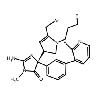 CC(=O)CC1=CC([C@]2(c3cccc(-c4cccnc4F)c3)N=C(N)N(C)C2=O)CN1CCCF